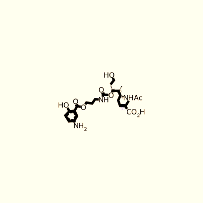 CC(=O)N[C@H](C/C=C(\C)C(=O)O)[C@@H](C)[C@@H](CCO)OC(=O)NCCCOC(=O)c1cc(N)ccc1O